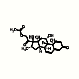 CC(=O)OCC(=O)[C@@]1(O)[C@@H](C)C[C@H]2[C@@H]3C=CC4=CC(=O)C=C[C@]4(C)[C@@]3(F)[C@@H](O)C[C@@]21C